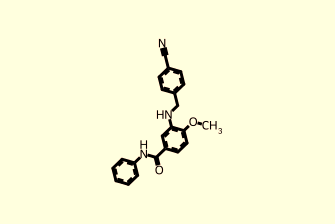 COc1ccc(C(=O)Nc2ccccc2)cc1NCc1ccc(C#N)cc1